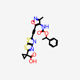 Cc1noc(C#Cc2nc3nc(C4(C(=O)O)CC4)sc3s2)c1NC(=O)OC(C)c1ccccc1